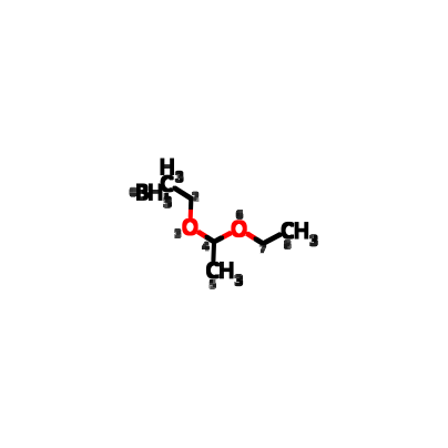 B.CCOC(C)OCC